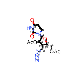 CC(=O)OC[C@H]1O[C@@H](n2ccc(=O)[nH]c2=O)[C@H](OC(C)=O)[C@@H]1CN=[N+]=[N-]